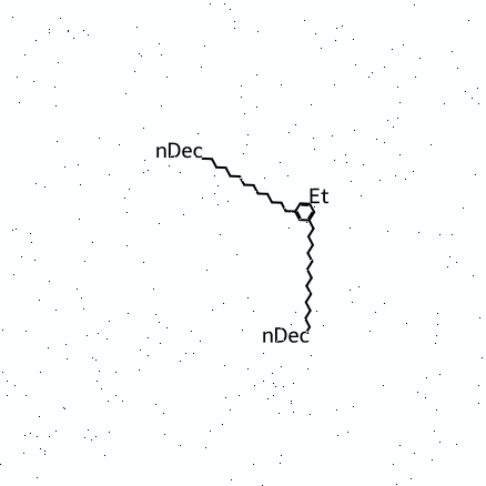 CCCCCCCCCCCCCCCCCCCCCCCc1cc(CC)cc(CCCCCCCCCCCCCCCCCCCCCCC)c1